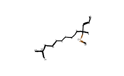 CC=CC(C)(CCCCCCCC(C)C)SC